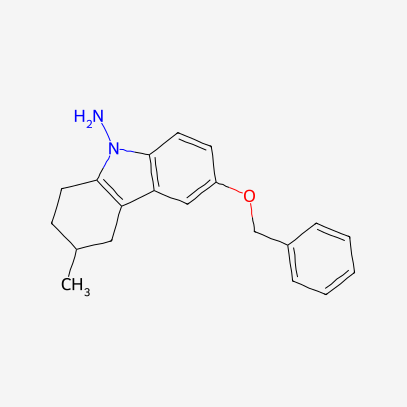 CC1CCc2c(c3cc(OCc4ccccc4)ccc3n2N)C1